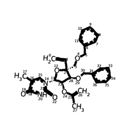 C=C[C@]1(COCc2ccccc2)O[C@@H](n2cc(C)c(=O)[nH]c2=O)[C@H](OC(=C)C)[C@@H]1OCc1ccccc1